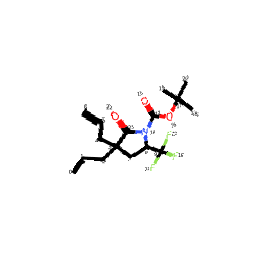 C=CCC1(CC=C)CC(C(F)(F)F)N(C(=O)OC(C)(C)C)C1=O